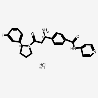 Cl.Cl.N[C@H](CC(=O)N1CCC[C@H]1c1cccc(F)c1)c1ccc(C(=O)Nc2ccncc2)cc1